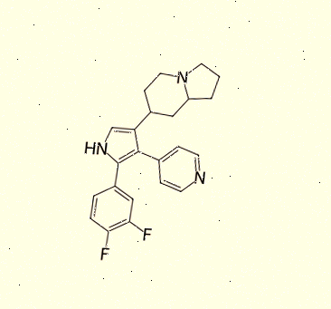 Fc1ccc(-c2[nH]cc(C3CCN4CCCC4C3)c2-c2ccncc2)cc1F